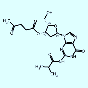 CC(=O)CCC(=O)O[C@H]1C[C@H](n2cnc3c(=O)[nH]c(NC(=O)C(C)C)nc32)O[C@H]1CO